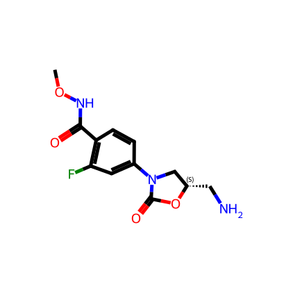 CONC(=O)c1ccc(N2C[C@H](CN)OC2=O)cc1F